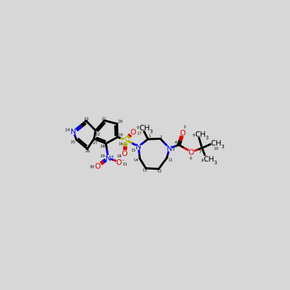 CC1CN(C(=O)OC(C)(C)C)CCCCN1S(=O)(=O)c1ccc2cnccc2c1[N+](=O)[O-]